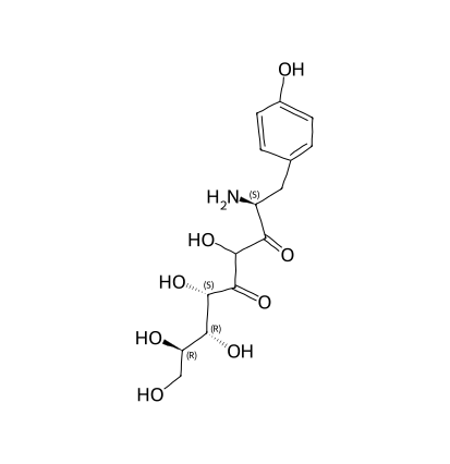 N[C@@H](Cc1ccc(O)cc1)C(=O)C(O)C(=O)[C@@H](O)[C@H](O)[C@H](O)CO